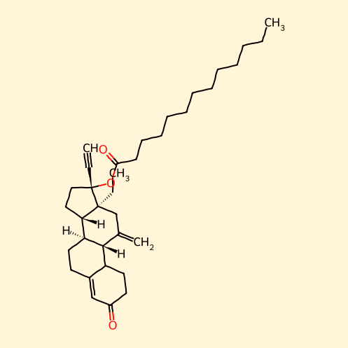 C#C[C@]1(OC(=O)CCCCCCCCCCCC)CC[C@H]2[C@@H]3CCC4=CC(=O)CCC4[C@H]3C(=C)C[C@@]21CC